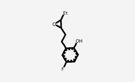 CCC1OC1CCc1cc(F)ccc1O